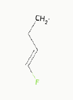 [CH2]C/C=C/F